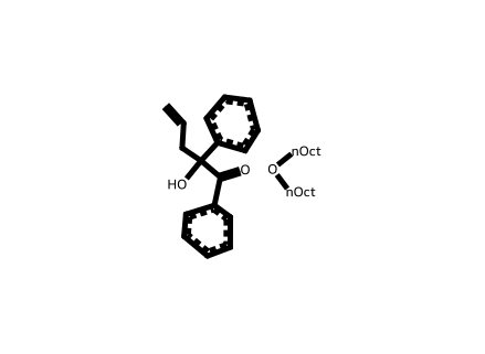 C=CCC(O)(C(=O)c1ccccc1)c1ccccc1.CCCCCCCCOCCCCCCCC